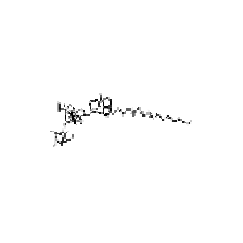 CCCCCCCCCCCCCCCCOCC(COP(=O)(O)OCCC1=C(C)N(C)CO1)OC(C)=O